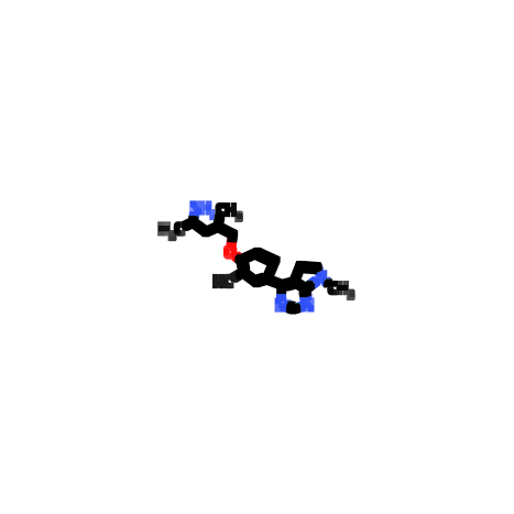 CC(N)CC(C)COc1ccc(-c2ncnc3c2ccn3C)cc1C#N